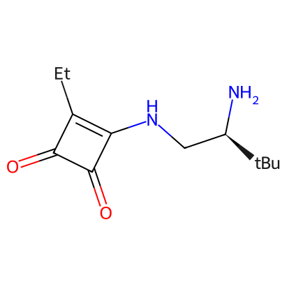 CCc1c(NC[C@@H](N)C(C)(C)C)c(=O)c1=O